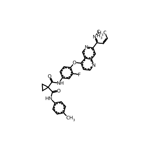 C/C=C\C(=N/C)c1cc2nccc(Oc3ccc(NC(=O)C4(C(=O)Nc5ccc(C)cc5)CC4)cc3F)c2cn1